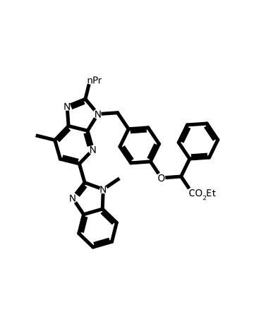 CCCc1nc2c(C)cc(-c3nc4ccccc4n3C)nc2n1Cc1ccc(OC(C(=O)OCC)c2ccccc2)cc1